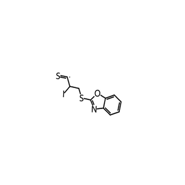 S=[C]C(I)CSc1nc2ccccc2o1